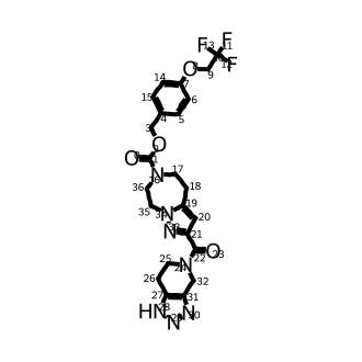 O=C(OCc1ccc(OCC(F)(F)F)cc1)N1CCc2cc(C(=O)N3CCc4[nH]nnc4C3)nn2CC1